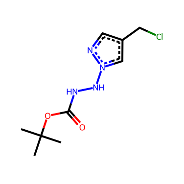 CC(C)(C)OC(=O)NNn1cc(CCl)cn1